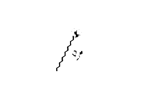 CCCCCCCCCCCCCCS(=O)(=O)[O-].CC[N+](CC)(CC)CC